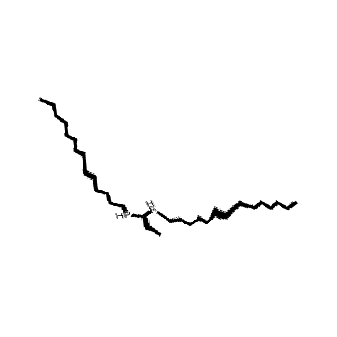 CCCCCCCCCCCCCCPC(CC)PCCCCCCCCCCCCCC